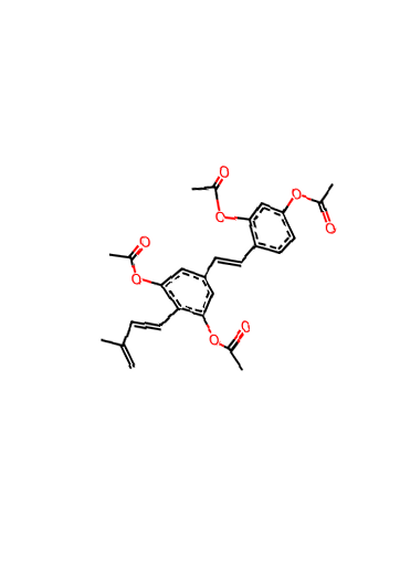 C=C(C)/C=C/c1c(OC(C)=O)cc(/C=C/c2ccc(OC(C)=O)cc2OC(C)=O)cc1OC(C)=O